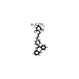 CC1(C)CC(=O)N(CCCCN2CCN(C3=Nc4ccccc4Sc4ccccc43)CC2)C(=O)C1